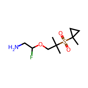 CC(C)(COC(F)CN)S(=O)(=O)C1(C)CC1